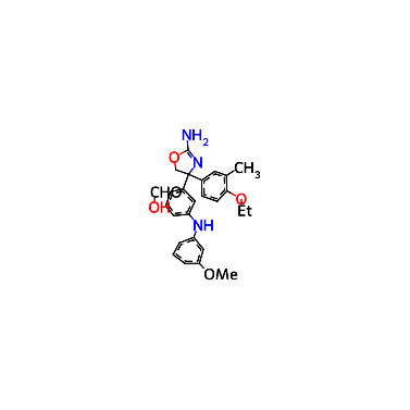 CCOc1ccc(C2(c3cccc(Nc4cccc(OC)c4)c3)COC(N)=N2)cc1C.O=CO